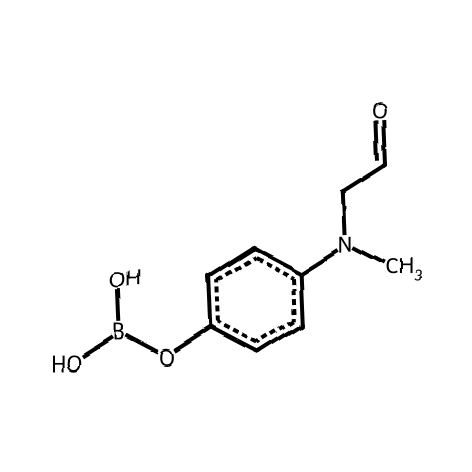 CN(CC=O)c1ccc(OB(O)O)cc1